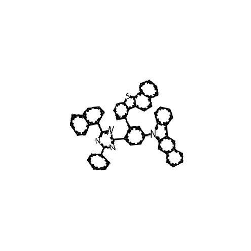 c1ccc(-c2nc(-c3ccc(-n4c5ccccc5c5cc6ccccc6cc54)cc3-c3cccc4sc5c6ccccc6ccc5c34)nc(-c3cccc4ccccc34)n2)cc1